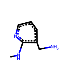 CNc1ncccc1CN